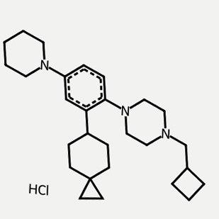 Cl.c1cc(N2CCN(CC3CCC3)CC2)c(C2CCC3(CC2)CC3)cc1N1CCCCC1